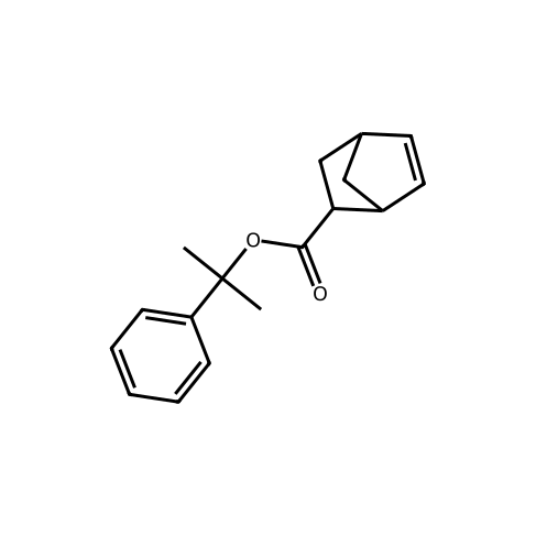 CC(C)(OC(=O)C1CC2C=CC1C2)c1ccccc1